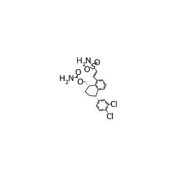 NC(=O)OC[C@H]1CC[C@@H](c2ccc(Cl)c(Cl)c2)c2cccc(/C=C/S(N)(=O)=O)c21